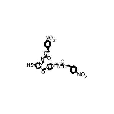 O=C(N=CN1CCN(C(=O)[C@@H]2C[C@H](S)CN2C=NC(=O)OCc2ccc([N+](=O)[O-])cc2)CC1)OCc1ccc([N+](=O)[O-])cc1